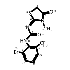 CN1C(=O)CSC1=NC(=O)Nc1c(Br)cccc1C(F)(F)F